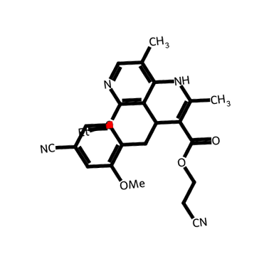 CCOc1ncc(C)c2c1C(Cc1ccc(C#N)cc1OC)C(C(=O)OCCC#N)=C(C)N2